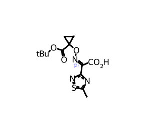 Cc1nc(/C(=N/OC2(C(=O)OC(C)(C)C)CC2)C(=O)O)ns1